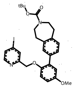 COc1ccc(OCc2cc(I)ccn2)c(-c2ccc3c(c2)CCN(C(=O)OC(C)(C)C)CC3)c1